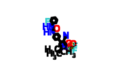 CC(C)(C)c1cc(-c2ccc(NC(=O)Nc3ccccc3F)cc2)c(C#N)c(OS(=O)(=O)C(F)(F)F)n1